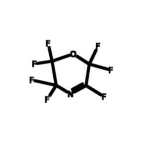 FC1=NC(F)(F)C(F)(F)OC1(F)F